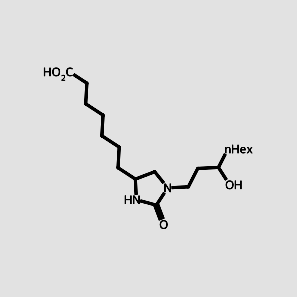 CCCCCCC(O)CCN1CC(CCCCCCC(=O)O)NC1=O